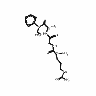 CC(C)[C@H](NC(=O)CNC(=O)[C@@H](N)CCCNC(=N)N)C(=O)N(CC(=O)O)c1ccccc1